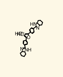 Cl.Cl.c1cc(-c2ccc(-c3ccc(C4=NC5CCCCC5N4)cc3)o2)ccc1C1=NC2CCCCC2N1